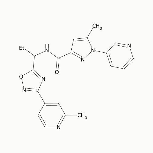 CCC(NC(=O)c1cc(C)n(-c2cccnc2)n1)c1nc(-c2ccnc(C)c2)no1